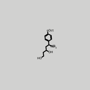 CCCCCCCCc1ccc(C(N)CC(O)CCO)cc1.Cl